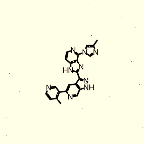 Cc1cn(-c2nccc3[nH]c(-c4n[nH]c5cnc(-c6cnccc6C)cc45)nc23)cn1